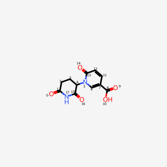 O=C1CCC(n2cc(C(=O)O)ccc2=O)C(=O)N1